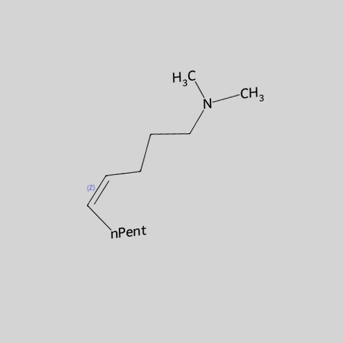 CCCCC/C=C\CCCN(C)C